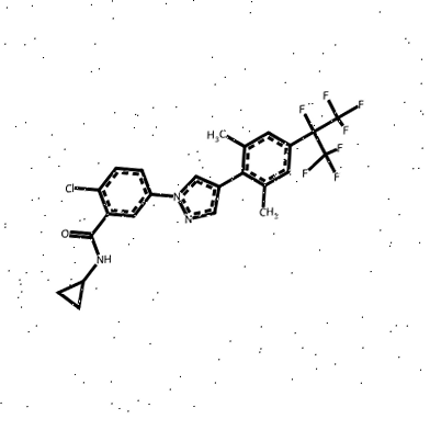 Cc1cc(C(F)(C(F)(F)F)C(F)(F)F)cc(C)c1-c1cnn(-c2ccc(Cl)c(C(=O)NC3CC3)c2)c1